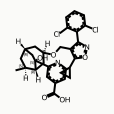 C[C@H]1C[C@@H]2C[C@@H](OCc3c(-c4c(Cl)cccc4Cl)noc3C3CC3)C[C@H]1[C@](O)(c1cc(C(=O)O)ccn1)C2